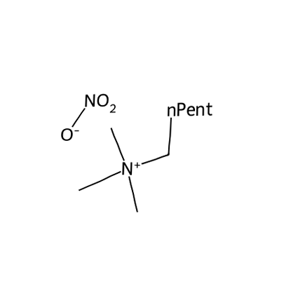 CCCCCC[N+](C)(C)C.O=[N+]([O-])[O-]